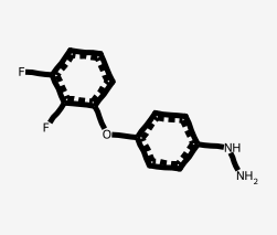 NNc1ccc(Oc2cccc(F)c2F)cc1